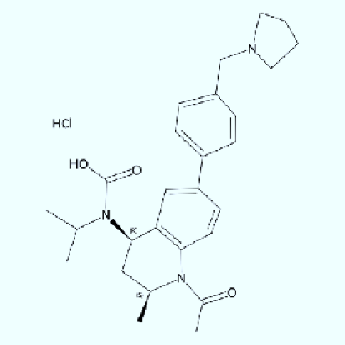 CC(=O)N1c2ccc(-c3ccc(CN4CCCC4)cc3)cc2[C@H](N(C(=O)O)C(C)C)C[C@@H]1C.Cl